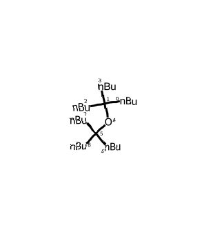 CCCCC(CCCC)(CCCC)OC(CCCC)(CCCC)CCCC